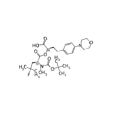 CN(C(=O)OC(C)(C)C)[C@@H](CC(C)(C)F)C(=O)O[C@H](CCc1ccc(N2CCOCC2)cc1)C(=O)O